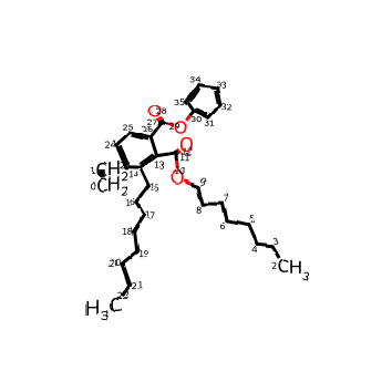 C=C.CCCCCCCCOC(=O)c1c(CCCCCCCC)cccc1C(=O)Oc1ccccc1